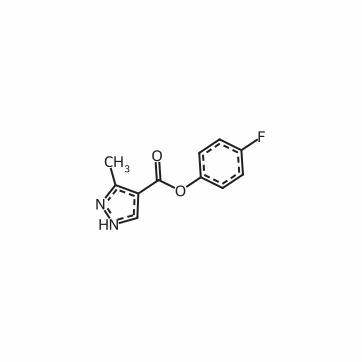 Cc1n[nH]cc1C(=O)Oc1ccc(F)cc1